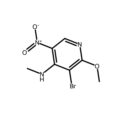 CNc1c([N+](=O)[O-])cnc(OC)c1Br